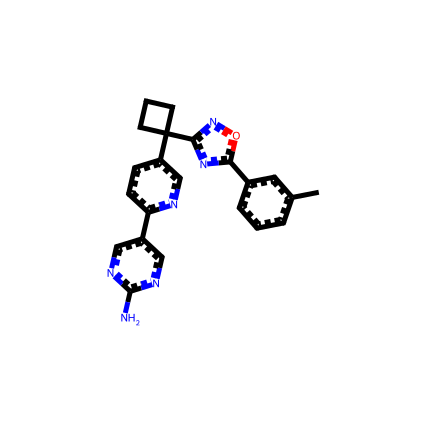 Cc1cccc(-c2nc(C3(c4ccc(-c5cnc(N)nc5)nc4)CCC3)no2)c1